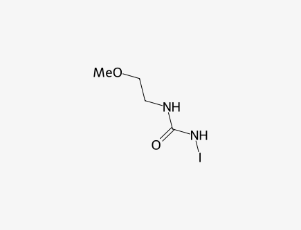 COCCNC(=O)NI